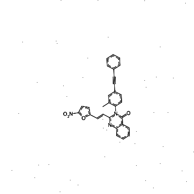 Cc1cc(C#Cc2ccccc2)ccc1-n1c(C=Cc2ccc([N+](=O)[O-])o2)nc2ccccc2c1=O